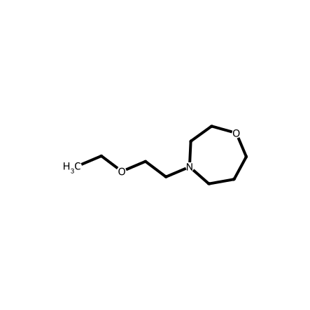 CCOCCN1CCCOCC1